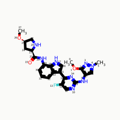 COc1nn(C)cc1Nc1ncc(F)c(-c2c[nH]c3c(NC(=O)[C@H]4C[C@H](OC)CN4)cccc23)n1